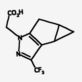 O=C(O)Cn1nc(C(F)(F)F)c2c1CC1CC21